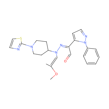 CO/C(C)=C/N(/N=C(\C=O)c1ccnn1-c1ccccc1)C1CCN(c2nccs2)CC1